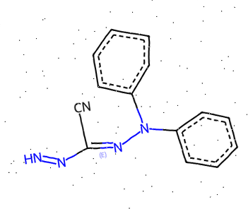 N#C/C(N=N)=N\N(c1ccccc1)c1ccccc1